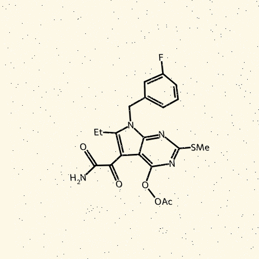 CCc1c(C(=O)C(N)=O)c2c(OOC(C)=O)nc(SC)nc2n1Cc1cccc(F)c1